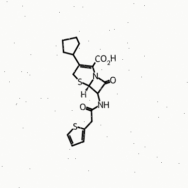 O=C(Cc1cccs1)NC1C(=O)N2C(C(=O)O)=C(C3CCCC3)CS[C@@H]12